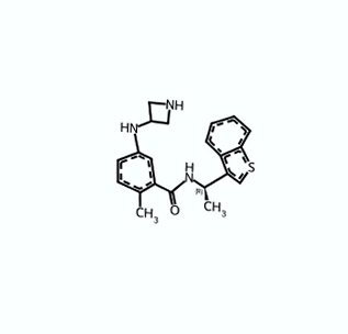 Cc1ccc(NC2CNC2)cc1C(=O)N[C@H](C)c1csc2ccccc12